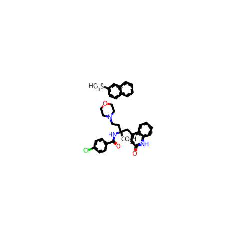 O=C(NC(CCN1CCOCC1)(Cc1cc(=O)[nH]c2ccccc12)C(=O)O)c1ccc(Cl)cc1.O=S(=O)(O)c1ccc2ccccc2c1